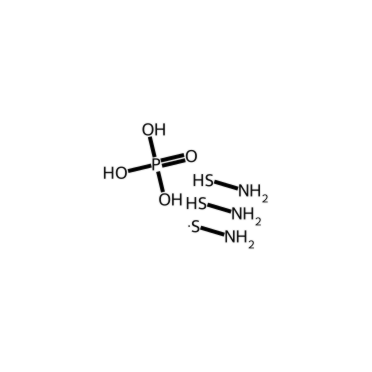 NS.NS.N[S].O=P(O)(O)O